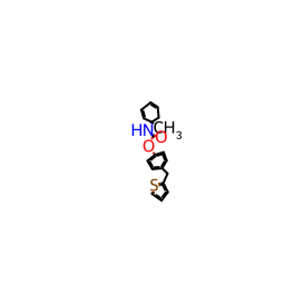 CC1(NC(=O)Oc2ccc(Cc3cccs3)cc2)C=CC=CC1